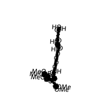 CC[C@H](C(=O)N1CCCC[C@@H]1C(=O)O[C@H](CCc1ccc(OC)c(OC)c1)c1cccc(OCC(=O)NCCOCCOCCOCCOCCNC(=O)c2ccc(NC(=O)CCCCCCC(=O)NO)cc2)c1)c1cc(OC)c(OC)c(OC)c1